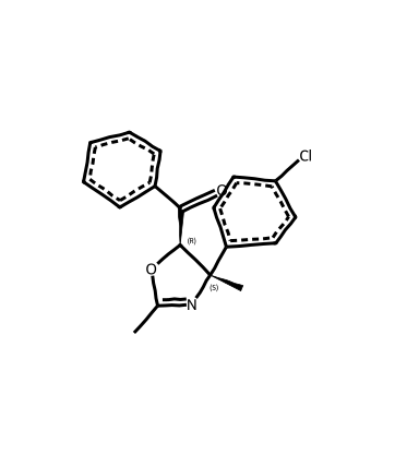 CC1=N[C@@](C)(c2ccc(Cl)cc2)[C@H](C(=O)c2ccccc2)O1